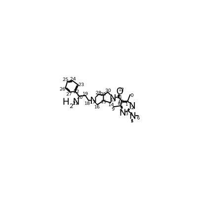 Cc1nc(N(C)C)nc(C)c1C(=O)N1CC2CN(CC[C@@H](N)c3ccccc3)CC2C1